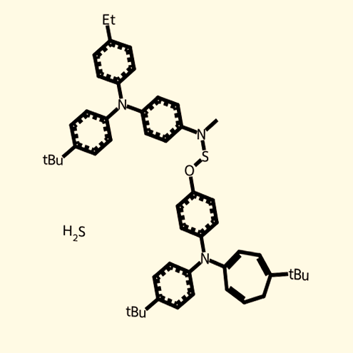 CCc1ccc(N(c2ccc(N(C)SOc3ccc(N(C4=CC=C(C(C)(C)C)CC=C4)c4ccc(C(C)(C)C)cc4)cc3)cc2)c2ccc(C(C)(C)C)cc2)cc1.S